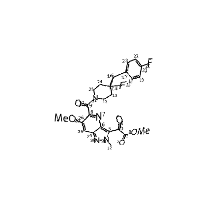 COC(=O)C(=O)c1c2nc(C(=O)N3CCC(F)(Cc4ccc(F)cc4)CC3)c(OC)cc2nn1C